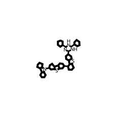 c1ccc(C2=NC(c3ccc4c(c3)sc3cccc(-c5ccc6c(c5)sc5cc(-n7c8ccccc8c8ccccc87)ccc56)c34)NC(c3ccccc3)N2)cc1